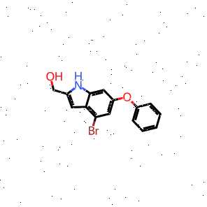 OCc1cc2c(Br)cc(Oc3ccccc3)cc2[nH]1